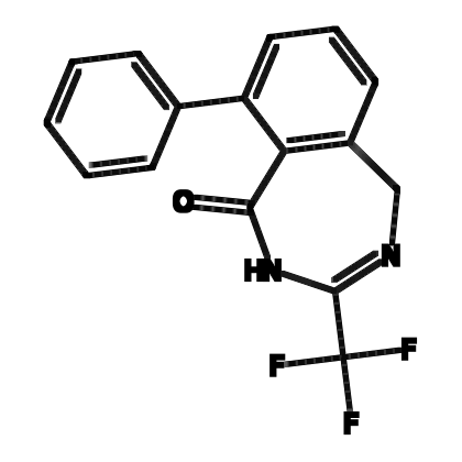 O=C1NC(C(F)(F)F)=NCc2cccc(-c3ccccc3)c21